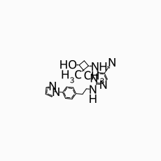 CC1(C)[C@@H](O)C[C@H]1Nc1nc(NCCc2ccc(-n3cccn3)cc2)ncc1C#N